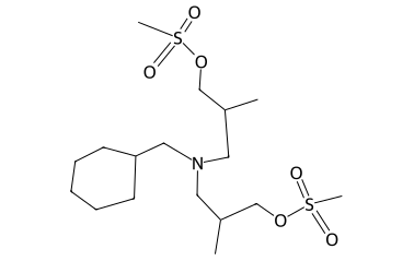 CC(COS(C)(=O)=O)CN(CC(C)COS(C)(=O)=O)CC1CCCCC1